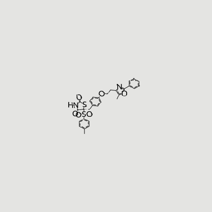 Cc1ccc(S(=O)(=O)C2(Cc3ccc(OCCc4nc(-c5ccccc5)oc4C)cc3)SC(=O)NC2=O)cc1